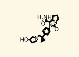 NC(=O)C1[C@H]2[CH]CCN2C(=O)N1c1ccc(C2(CN3CCC(O)C3)CC2)cc1